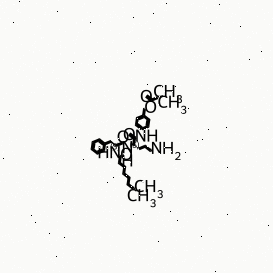 CC(C)CCCCCC(=O)N[C@@H](Cc1ccccc1)C(=O)N[C@@H](CCCN)C(=O)Nc1ccc(COC(=O)C(C)C)cc1